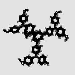 COc1ccc(N(c2ccc(C)cc2)c2ccc(-c3cc(-c4ccc(N(c5ccc(OC)cc5)c5ccc(OC)cc5)cc4)cc(-c4ccc(N(c5ccc(OC)cc5)c5ccc(OC)cc5)cc4)c3)cc2)cc1